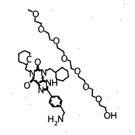 COCCOCCOCCOCCOCCOCCOCCO.NCc1ccc(-c2nc3c(=O)n(CC4CCCCC4)c(=O)n(CC4CCCCC4)c3[nH]2)cc1